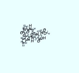 CCOC(=O)N1CCN(C(=O)C(CCC(=O)O)NC(=O)c2cc(OCC(=O)N3CCCC3C(=O)NC3CC3)c3c(C)cc(C)cc3n2)CC1